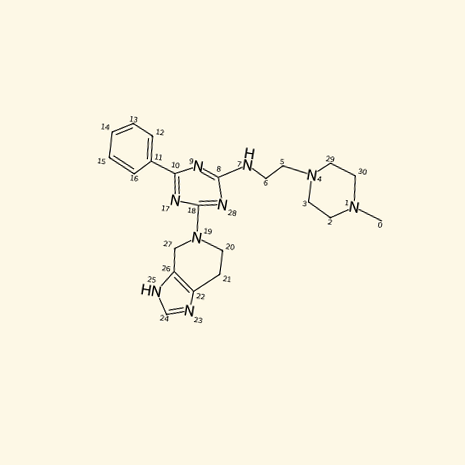 CN1CCN(CCNc2nc(-c3ccccc3)nc(N3CCc4nc[nH]c4C3)n2)CC1